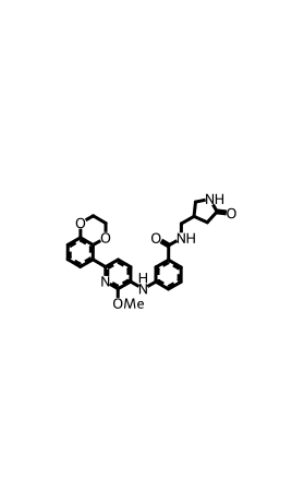 COc1nc(-c2cccc3c2OCCO3)ccc1Nc1cccc(C(=O)NCC2CNC(=O)C2)c1